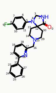 O=C1NCN(c2ccc(F)cc2)C12CCN(Cc1cccc(-c3ccccc3)n1)CC2